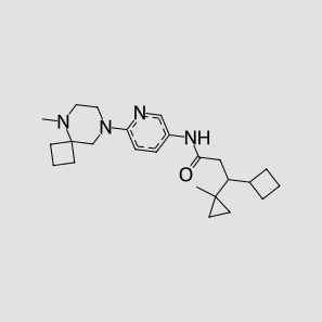 CN1CCN(c2ccc(NC(=O)CC(C3CCC3)C3(C)CC3)cn2)CC12CCC2